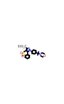 CCOC(=O)c1nn(-c2ccc(C(C)(C)N3CCOCC3)cc2)c2c1CS(=O)(=O)c1ccccc1-2